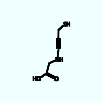 O=C(O)CNC#CCS